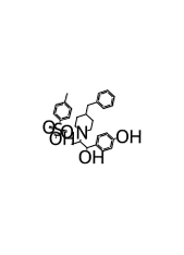 CC(C(O)c1ccc(O)cc1)N1CCC(Cc2ccccc2)CC1.Cc1ccc(S(=O)(=O)O)cc1